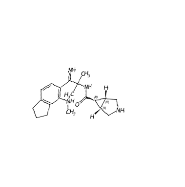 CNc1c(C(=N)C(C)(C)NC(=O)[C@H]2[C@@H]3CNC[C@@H]32)ccc2c1CCC2